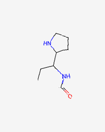 CCC(N[C]=O)C1CCCN1